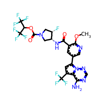 COc1ncc(-c2cc(C(F)(F)F)c3c(N)ncnn23)cc1C(=O)N[C@@H]1CN(C(=O)OC(C(F)(F)F)C(F)(F)F)C[C@@H]1F